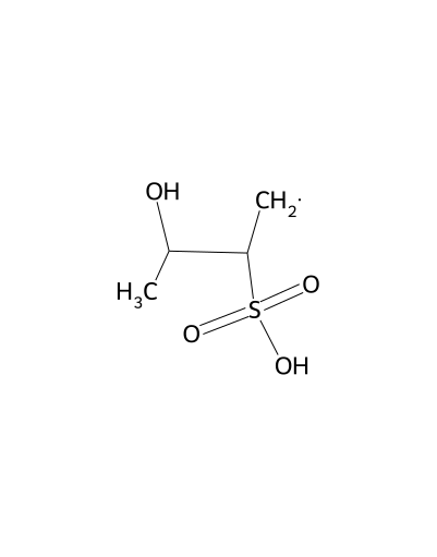 [CH2]C(C(C)O)S(=O)(=O)O